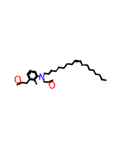 CCCCCCCC/C=C\CCCCCCCCN(CC1CO1)c1cccc(CC2CO2)c1C